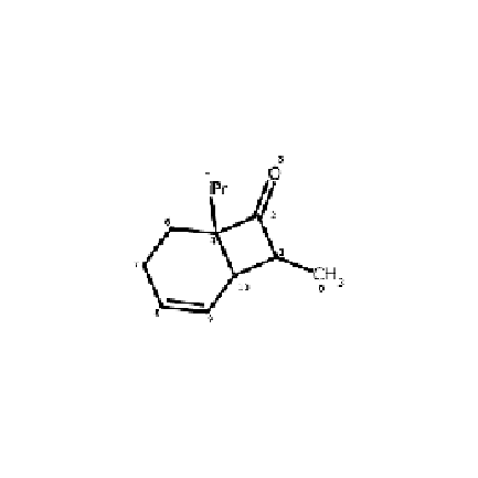 CC1C(=O)C2(C(C)C)CCC=CC12